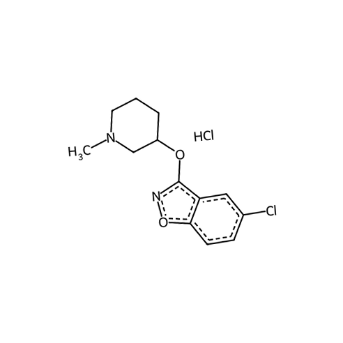 CN1CCCC(Oc2noc3ccc(Cl)cc23)C1.Cl